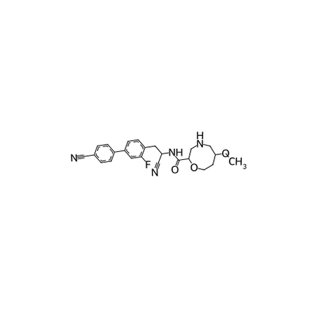 COC1CCOC(C(=O)NC(C#N)Cc2ccc(-c3ccc(C#N)cc3)cc2F)CNC1